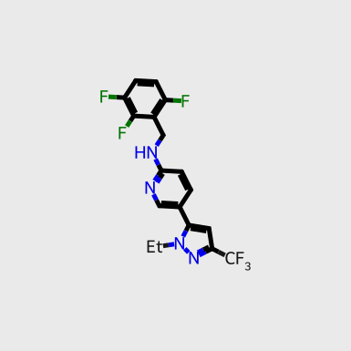 CCn1nc(C(F)(F)F)cc1-c1ccc(NCc2c(F)ccc(F)c2F)nc1